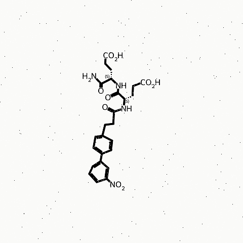 NC(=O)[C@H](CCC(=O)O)NC(=O)[C@H](CCC(=O)O)NC(=O)CCc1ccc(-c2cccc([N+](=O)[O-])c2)cc1